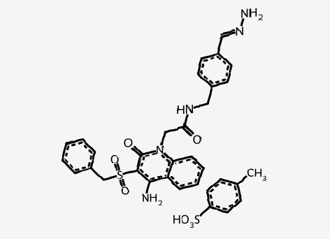 Cc1ccc(S(=O)(=O)O)cc1.NN=Cc1ccc(CNC(=O)Cn2c(=O)c(S(=O)(=O)Cc3ccccc3)c(N)c3ccccc32)cc1